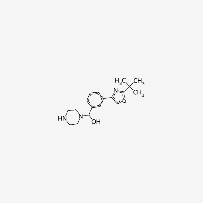 CC(C)(C)c1nc(-c2cccc(C(O)N3CCNCC3)c2)cs1